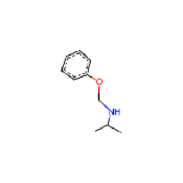 CC(C)NCOc1ccccc1